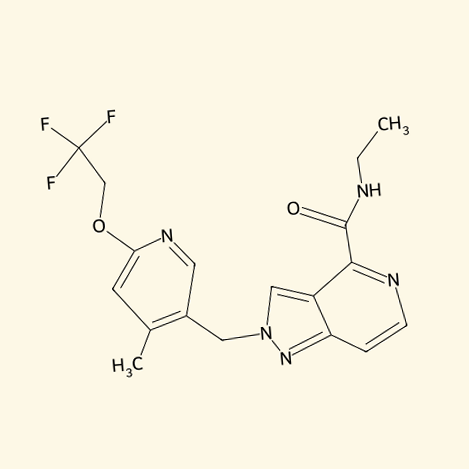 CCNC(=O)c1nccc2nn(Cc3cnc(OCC(F)(F)F)cc3C)cc12